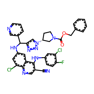 N#Cc1cnc2c(Cl)cc(NC(c3cccnc3)c3cn([C@@H]4CCN(C(=O)OCc5ccccc5)C4)nn3)cc2c1Nc1ccc(F)c(Cl)c1